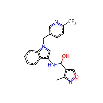 Cc1nocc1C(O)Nc1cn(Cc2ccc(C(F)(F)F)nc2)c2ccccc12